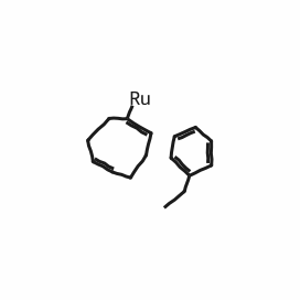 CCc1ccccc1.[Ru]/[C]1=C/CC/C=C\CC1